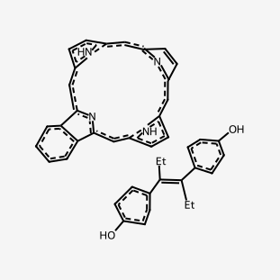 C1=Cc2cc3ccc(cc4nc(cc5ccc(cc1n2)[nH]5)-c1ccccc1-4)[nH]3.CC/C(=C(/CC)c1ccc(O)cc1)c1ccc(O)cc1